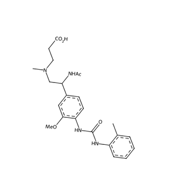 COc1cc(C(CN(C)CCC(=O)O)NC(C)=O)ccc1NC(=O)Nc1ccccc1C